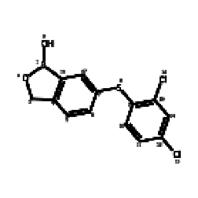 OB1OCc2ccc(Sc3ccc(Cl)cc3Cl)cc21